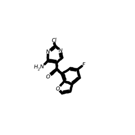 Nc1nc(Cl)ncc1C(=O)c1cc(F)cc2ccoc12